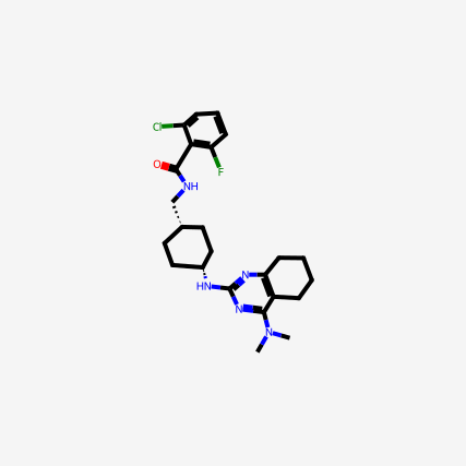 CN(C)c1nc(N[C@H]2CC[C@@H](CNC(=O)c3c(F)cccc3Cl)CC2)nc2c1CCCC2